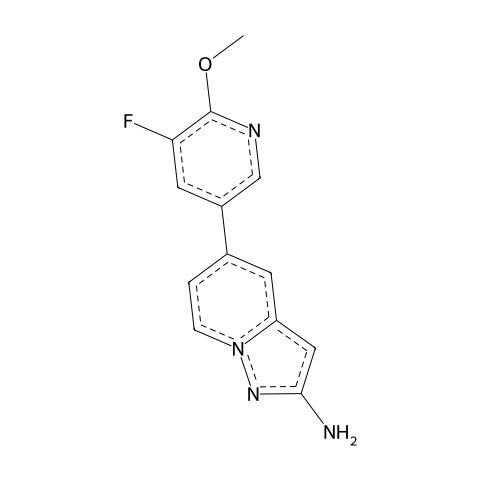 COc1ncc(-c2ccn3nc(N)cc3c2)cc1F